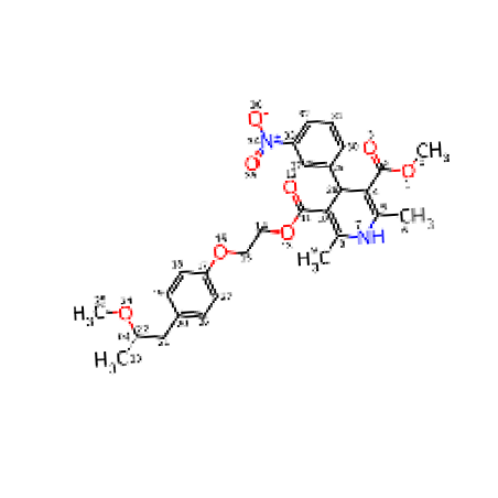 COC(=O)C1=C(C)NC(C)=C(C(=O)OCCOc2ccc(C[C@H](C)OC)cc2)C1c1cccc([N+](=O)[O-])c1